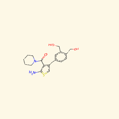 Nc1scc(-c2ccc(CO)c(CO)c2)c1C(=O)N1CCCCC1